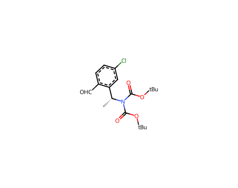 C[C@H](c1cc(Cl)ccc1C=O)N(C(=O)OC(C)(C)C)C(=O)OC(C)(C)C